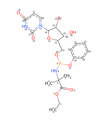 CCOC(=O)C(C)(C)NP(OCC1OC(n2ccc(=O)[nH]c2=O)C(Br)[C@@H]1O)Oc1ccccc1